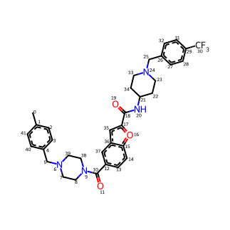 Cc1ccc(CN2CCN(C(=O)c3ccc4oc(C(=O)NC5CCN(Cc6ccc(C(F)(F)F)cc6)CC5)cc4c3)CC2)cc1